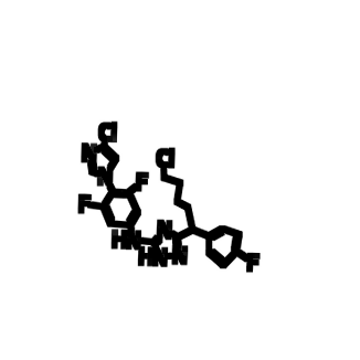 Fc1ccc(C(CCCCCl)c2n[nH]c(Nc3cc(F)c(-n4cnc(Cl)c4)c(F)c3)n2)cc1